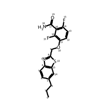 CCCc1ccc2nc(COc3ccc(F)c(C(N)=O)c3F)sc2c1